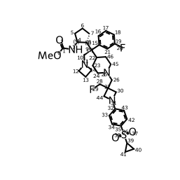 COC(=O)N[C@H]1CCC[C@@H]1[C@](CN1CCC1)(c1cccc(F)c1)C1CCN(CC2(CF)CN(c3ccc(S(=O)(=O)C4CC4)cc3)C2)CC1